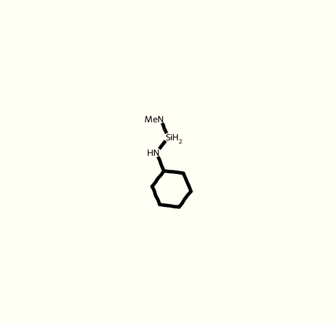 CN[SiH2]NC1CCCCC1